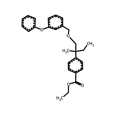 CCOC(=O)c1ccc(C(C)(CC)COCc2cccc(Oc3ccccc3)c2)cc1